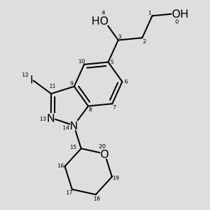 OCCC(O)c1ccc2c(c1)c(I)nn2C1CCCCO1